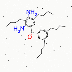 CCCCc1cc(CCCC)cc(C(=O)c2cc(CCCC)c(N)c(CCCC)c2N)c1